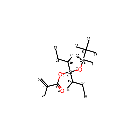 C=C(C)C(=O)O[Si](O[Si](C)(C)C(C)(C)C)(C(C)CC)C(C)CC